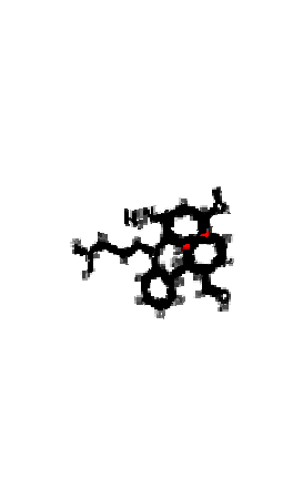 COc1cc(N)c(N(CCCN(C)C)c2ccccc2-c2ccccc2C=O)cn1